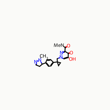 CNC(=O)c1nn(CC2(c3ccc(C4CC=NN4C)cc3)CC2)cc(O)c1=O